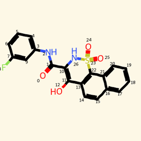 O=C(Nc1cccc(F)c1)C1=C(O)c2ccc3ccccc3c2S(=O)(=O)N1